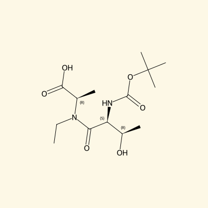 CCN(C(=O)[C@@H](NC(=O)OC(C)(C)C)[C@@H](C)O)[C@H](C)C(=O)O